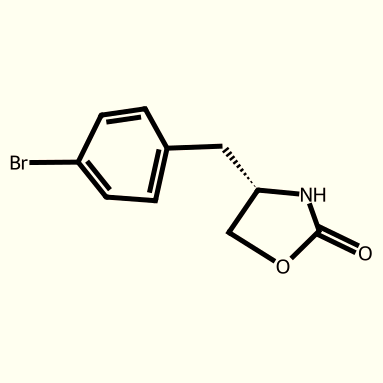 O=C1N[C@@H](Cc2ccc(Br)cc2)CO1